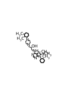 Cc1cccc(N2CCN(CC(O)CNc3ncnc4c3nc(C(C)(C)C)n4-c3ccccc3)CC2)c1C